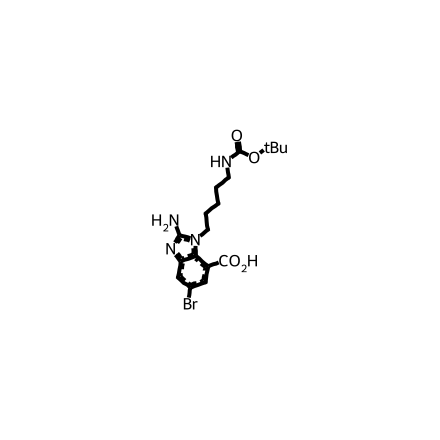 CC(C)(C)OC(=O)NCCCCCn1c(N)nc2cc(Br)cc(C(=O)O)c21